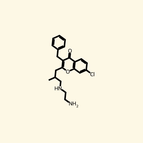 CC(CNCCN)Cc1oc2cc(Cl)ccc2c(=O)c1Cc1ccccc1